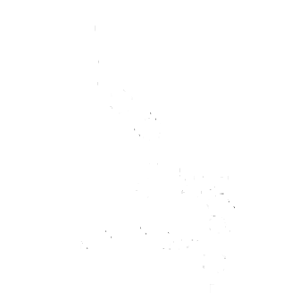 CCOC(=O)[C@H]1Cc2cc(ccc2OCc2ccnc(-c3ccc(OCOCC[Si](C)(C)C)cc3)n2)CN(CCN2CCN(C)CC2)Cc2ccc(c(C)c2Cl)-c2c(-c3ccc(F)cc3)sc3ncnc(c23)O1